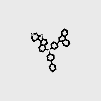 c1ccc(-c2ccc(N(c3ccc(-c4cc5ccccc5c5ccccc45)cc3)c3cccc4c3ccc3oc5cnccc5c34)cc2)cc1